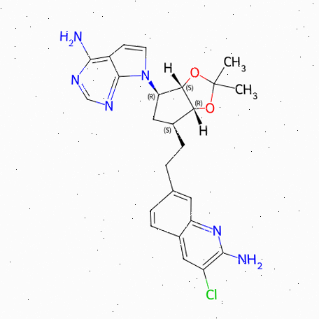 CC1(C)O[C@@H]2[C@@H](CCc3ccc4cc(Cl)c(N)nc4c3)C[C@@H](n3ccc4c(N)ncnc43)[C@@H]2O1